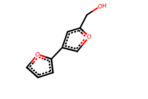 OCc1cc(-c2ccco2)[c]o1